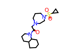 O=C(CN1CCCN(S(=O)(=O)C2CC2)CC1)N1CCCC2CCCCC21